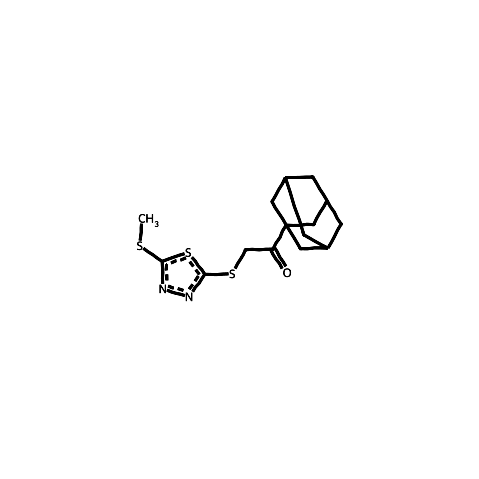 CSc1nnc(SCC(=O)C23CC4CC(CC(C4)C2)C3)s1